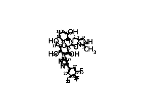 Cc1nc(CN(C(=O)[C@@H]2O[C@H](CO)[C@H](O)[C@H](n3cc(-c4cc(F)c(F)c(F)c4)nn3)[C@H]2O)[C@H]2CCCC[C@@H]2O)c[nH]1